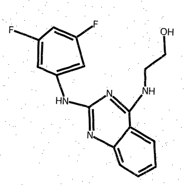 OCCNc1nc(Nc2cc(F)cc(F)c2)nc2ccccc12